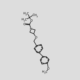 COc1ccc(-c2ccc(COC3CN(C(=O)OC(C)(C)C)C3)cc2)cc1